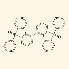 O=P(c1ccccc1)(c1ccccc1)c1cccc(-c2cccc(P(=O)(c3ccccc3)c3ccccc3)n2)n1